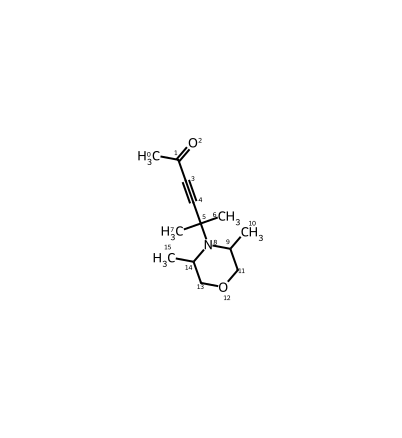 CC(=O)C#CC(C)(C)N1C(C)COCC1C